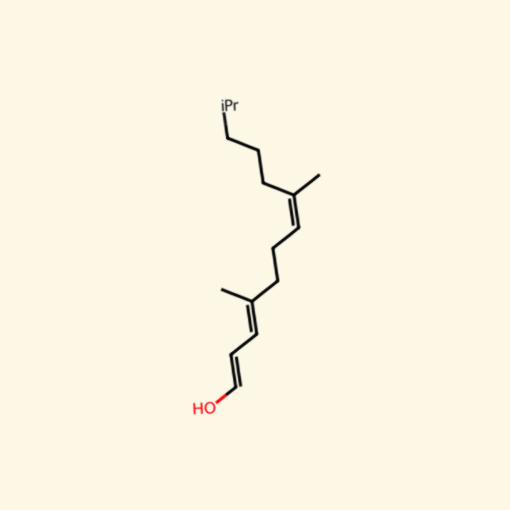 C/C(=C/CC/C(C)=C/C=CO)CCCC(C)C